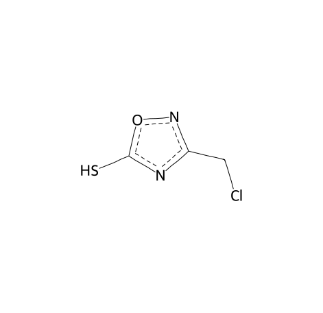 Sc1nc(CCl)no1